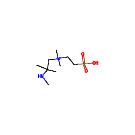 CNC(C)(C)C[N+](C)(C)CCS(=O)(=O)O